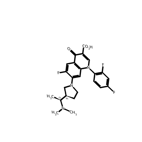 C[C@@H]([C@@H]1CCN(c2cc3c(cc2F)c(=O)c(C(=O)O)cn3-c2ccc(F)cc2F)C1)N(C)C